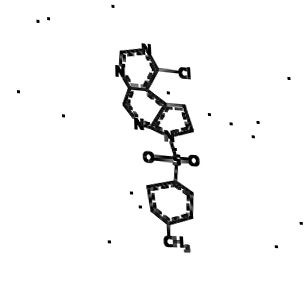 Cc1ccc(S(=O)(=O)n2ccc3c4c(Cl)ncnc4cnc32)cc1